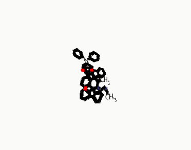 C=C1/C(=C\C=C/C)C2(c3ccccc3-c3ccccc32)c2cccc(-c3ccc(N(c4ccccc4)c4ccccc4)cc3)c2C12c1ccccc1-c1ccccc12